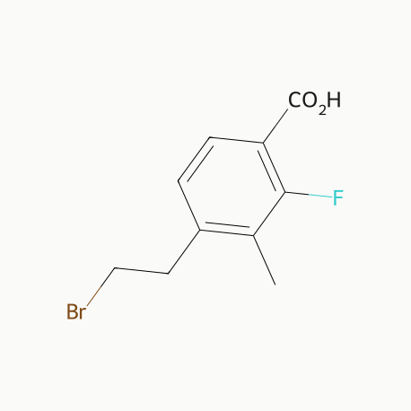 Cc1c(CCBr)ccc(C(=O)O)c1F